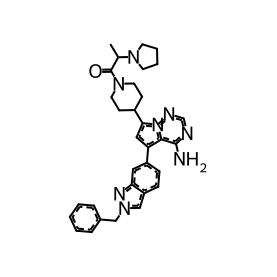 CC(C(=O)N1CCC(c2cc(-c3ccc4cn(Cc5ccccc5)nc4c3)c3c(N)ncnn23)CC1)N1CCCC1